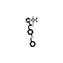 CN(C)S(=O)(=O)n1ccnc1C(=O)Cc1ccc(OCc2ccccc2)cc1